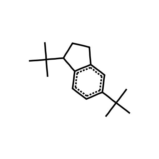 CC(C)(C)c1ccc2c(c1)CCC2C(C)(C)C